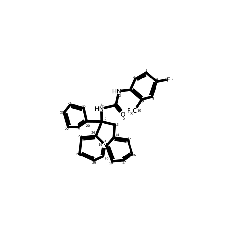 O=C(Nc1ccc(F)cc1C(F)(F)F)NC(Cc1ccccc1)(c1ccccc1)c1ccccn1